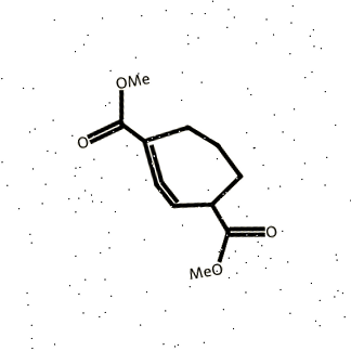 COC(=O)C1=C=CC(C(=O)OC)CCC1